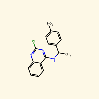 CC(Nc1nc(Cl)nc2ccccc12)c1ccc([N+](=O)[O-])cc1